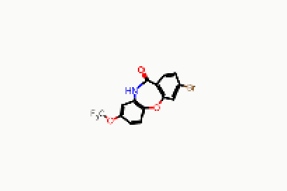 O=C1Nc2cc(OC(F)(F)F)ccc2Oc2cc(Br)ccc21